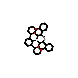 Brc1c(N(c2ccc3ccccc3c2Br)c2c(-c3ccccc3)cccc2-c2ccccc2)ccc2ccccc12